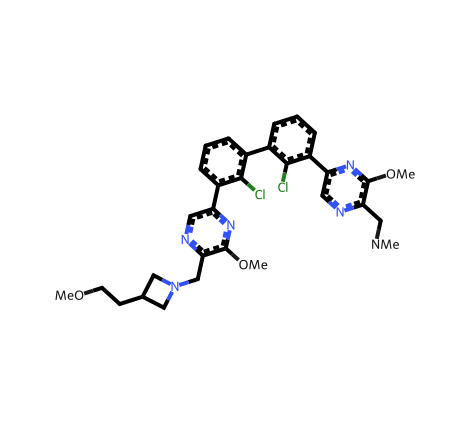 CNCc1ncc(-c2cccc(-c3cccc(-c4cnc(CN5CC(CCOC)C5)c(OC)n4)c3Cl)c2Cl)nc1OC